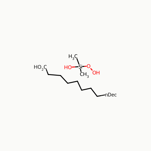 CCCCCCCCCCCCCCCCCC(=O)O.C[Si](C)(O)OO